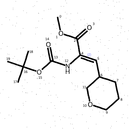 COC(=O)/C(=C/C1CCCOC1)NC(=O)OC(C)(C)C